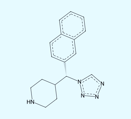 c1ccc2cc([C@@H](C3CCNCC3)n3cnnn3)ccc2c1